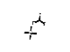 C[Si](C)(C)C.FC(F)F